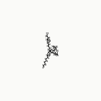 CCCCCCCCOCC(CCCCCOCCCC)(CCCN(C)C)CCCN(C)C